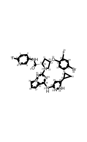 O=C(Nc1ccc(F)nc1)[C@@H]1C[C@H](Oc2ccc(Br)cc2F)CN1c1nc(Nc2cc(C3CC3)[nH]n2)c2cccn2n1